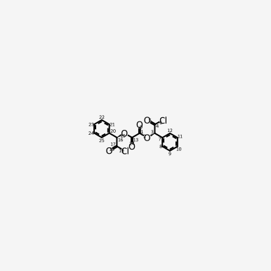 O=C(O[C@@H](C(=O)Cl)c1ccccc1)C(=O)O[C@@H](C(=O)Cl)c1ccccc1